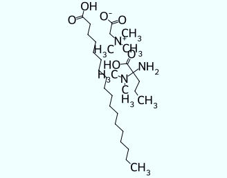 CCCC(N)(C(=O)O)N(C)C.CCCCCCCCCCCCCCCCCC(=O)O.C[N+](C)(C)CC(=O)[O-]